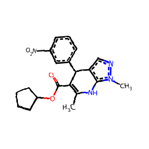 CC1=C(C(=O)OC2CCCC2)C(c2cccc([N+](=O)[O-])c2)c2cnn(C)c2N1